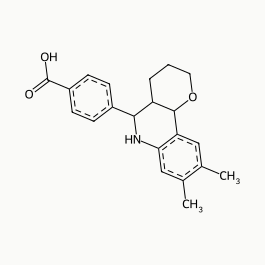 Cc1cc2c(cc1C)C1OCCCC1C(c1ccc(C(=O)O)cc1)N2